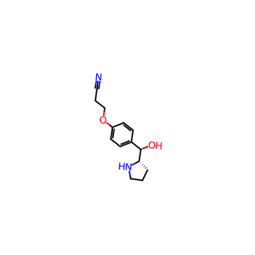 N#CCCOc1ccc([C@@H](O)[C@@H]2CCCN2)cc1